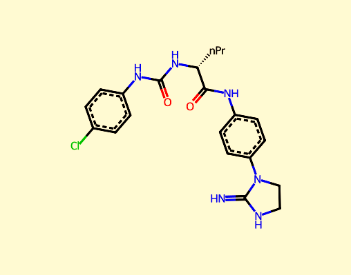 CCC[C@@H](NC(=O)Nc1ccc(Cl)cc1)C(=O)Nc1ccc(N2CCNC2=N)cc1